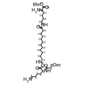 CCCCCCCCCCCC(=O)NC(CCCCN)C(=O)ONCCCCCCCCCCCC(=O)NCCCCC(N)C(=O)OC